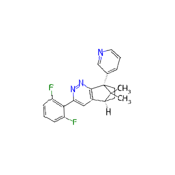 CC1(C)[C@H]2CC[C@]1(c1cccnc1)c1nnc(-c3c(F)cccc3F)cc12